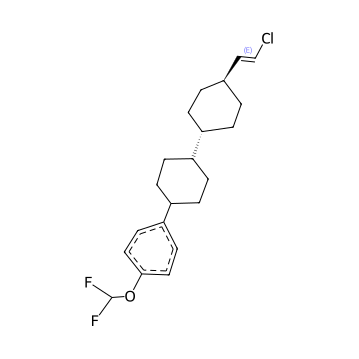 FC(F)Oc1ccc(C2CCC([C@H]3CC[C@H](/C=C/Cl)CC3)CC2)cc1